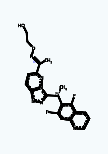 C/C(=N\OCCO)c1ccc2nnc([C@H](C)c3c(F)cc4ncccc4c3F)n2n1